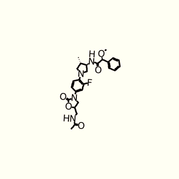 CO[C@H](C(=O)N[C@H]1CN(c2ccc(N3CC(CNC(C)=O)OC3=O)cc2F)C[C@@H]1C)c1ccccc1